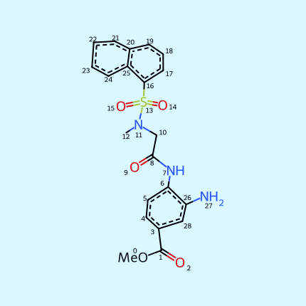 COC(=O)c1ccc(NC(=O)CN(C)S(=O)(=O)c2cccc3ccccc23)c(N)c1